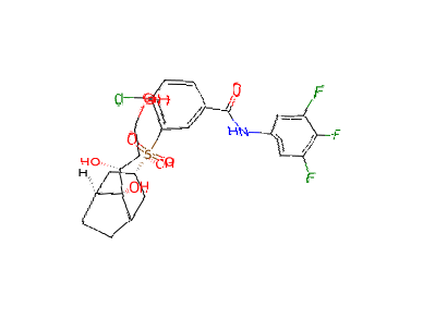 O=C(Nc1cc(F)c(F)c(F)c1)c1ccc(Cl)c(S(=O)(=O)[C@@H]2CC3CC[C@@H](C2)[C@@]3(O)[C@H](O)[C@@H](O)CO)c1